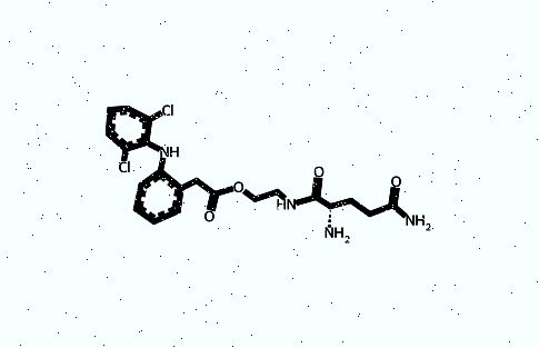 NC(=O)CC[C@H](N)C(=O)NCCOC(=O)Cc1ccccc1Nc1c(Cl)cccc1Cl